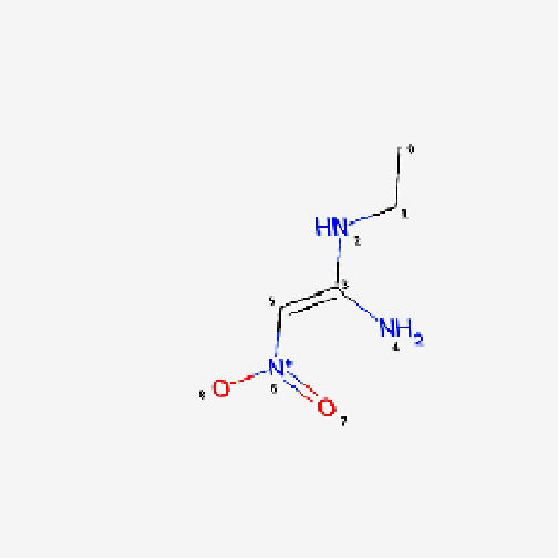 CCN/C(N)=C/[N+](=O)[O-]